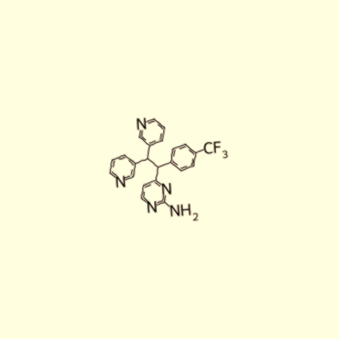 Nc1nccc(C(c2ccc(C(F)(F)F)cc2)C(c2cccnc2)c2cccnc2)n1